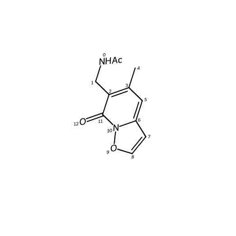 CC(=O)NCc1c(C)cc2ccon2c1=O